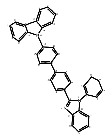 C1=CC(n2c(-c3ccc(-c4ccc(-n5c6ccccc6c6ccccc65)cc4)cc3)nc3ccccc32)=CCC1